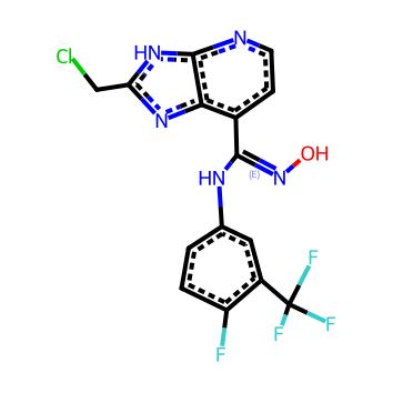 O/N=C(/Nc1ccc(F)c(C(F)(F)F)c1)c1ccnc2[nH]c(CCl)nc12